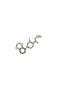 CC(CO)N1CCN(c2cccc3c2OCCO3)CC1I